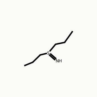 CCCS(=N)CCC